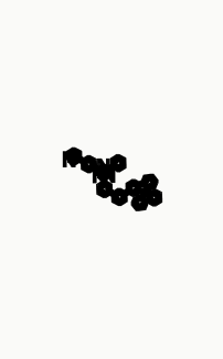 c1ccc(-c2nc(-c3ccc(-c4cccnc4)cc3)nc(-c3cccc(-c4cccc(-c5ccc6c(c5)C(c5ccccc5)(c5ccccc5)c5ccccc5-6)c4)c3)n2)cc1